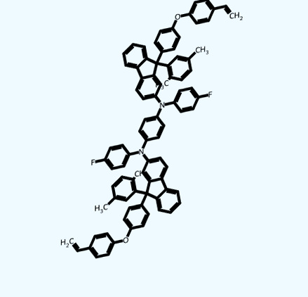 C=Cc1ccc(Oc2ccc(C3(c4cc(C)ccc4C)c4ccccc4-c4ccc(N(c5ccc(F)cc5)c5ccc(N(c6ccc(F)cc6)c6ccc7c(c6)C(c6ccc(Oc8ccc(C=C)cc8)cc6)(c6cc(C)ccc6C)c6ccccc6-7)cc5)cc43)cc2)cc1